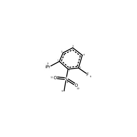 CC(C)c1cccc(F)c1S(C)(=O)=O